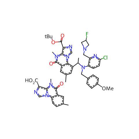 COc1ccc(CN(c2ccc(Cl)nc2CN2CC(F)C2)C(C)c2cc(C)cc3c(=O)n(C)c4c(C(=O)OC(C)(C)C)ncn4c23)cc1.Cc1ccc2c(c1)c(=O)n(C)c1c(C(=O)O)ncn21